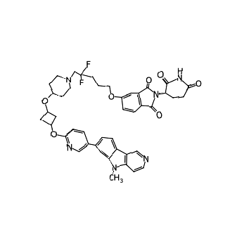 Cn1c2ccncc2c2ccc(-c3ccc(OC4CC(OC5CCN(CC(F)(F)CCCOc6ccc7c(c6)C(=O)N(C6CCC(=O)NC6=O)C7=O)CC5)C4)nc3)cc21